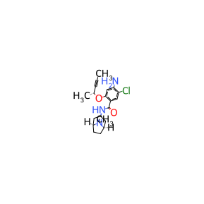 CC#C[C@@H](C)Oc1cc(N)c(Cl)cc1C(=O)N[C@H]1C[C@H]2CC[C@@H](C1)N2C